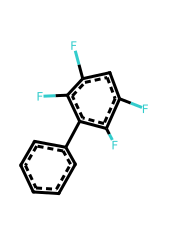 Fc1cc(F)c(F)c(-c2ccccc2)c1F